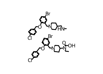 CCN(C(=O)O)C1CCN(Cc2cc(Br)ccc2OCc2ccc(Cl)cc2)CC1.CNCC1CCN(Cc2cc(Br)ccc2OCc2ccc(Cl)cc2)CC1